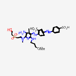 COCCCNc1nc(N(C)CCS(=O)(=O)CCO)c(N)c(C)c1/N=N/c1ccc(/N=N/c2ccc(S(=O)(=O)O)cc2)cc1S(=O)(=O)O